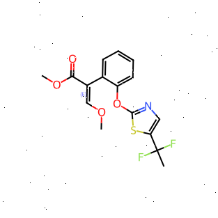 CO/C=C(/C(=O)OC)c1ccccc1Oc1ncc(C(C)(F)F)s1